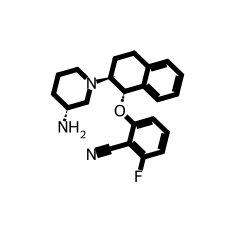 N#Cc1c(F)cccc1O[C@H]1c2ccccc2CC[C@@H]1N1CCC[C@@H](N)C1